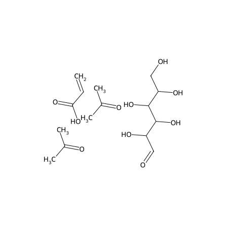 C=CC(=O)O.CC(C)=O.CC(C)=O.O=CC(O)C(O)C(O)C(O)CO